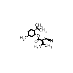 C/C(N)=C(\SC#N)C(=O)O[C@@H]1C[C@H](C)CC[C@H]1C(C)C